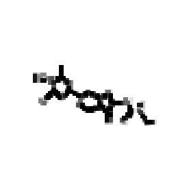 CCNC(=O)Nc1nc2cc(-c3cc(C)n(O)c(=O)c3)ccc2[nH]1